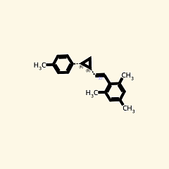 Cc1ccc([C@@H]2C[C@@H]2/C=C/c2c(C)cc(C)cc2C)cc1